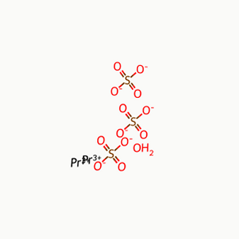 O.O=S(=O)([O-])[O-].O=S(=O)([O-])[O-].O=S(=O)([O-])[O-].[Pr+3].[Pr+3]